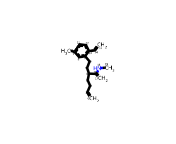 C=CCCC(CCc1cc(C)ccc1C=C)C(=C)NC